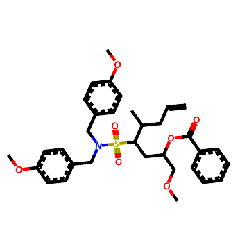 C=CCC(C)C(CC(COC)OC(=O)c1ccccc1)S(=O)(=O)N(Cc1ccc(OC)cc1)Cc1ccc(OC)cc1